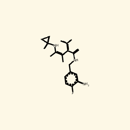 C=C(NCc1ccc(F)c(N)c1)C(=C(C)C)/C(C)=C(/C)NC1(C)CC1